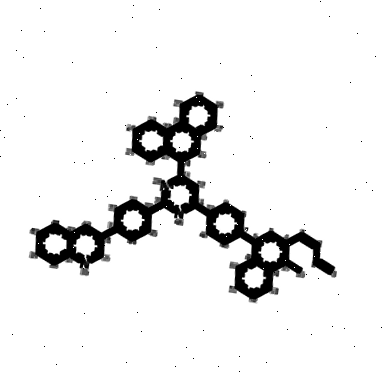 C=C/C=C\c1cc(-c2ccc(-c3cc(-c4cc5ccccc5c5ccccc45)nc(-c4ccc(-c5cnc6ccccc6c5)cc4)n3)cc2)c2ccccc2c1C